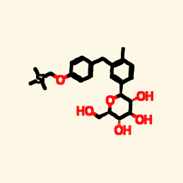 Cc1ccc([C@@H]2O[C@H](CO)[C@@H](O)[C@H](O)[C@H]2O)cc1Cc1ccc(OC[Si](C)(C)C)cc1